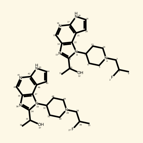 CC(F)CN1CCC(n2c(C(C)O)nc3cnc4[nH]ccc4c32)CC1.CC(F)CN1CCC(n2c(C(C)O)nc3cnc4[nH]ccc4c32)CC1